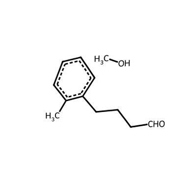 CO.Cc1ccccc1CCCC=O